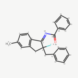 Cc1ccc2c(c1)CC(F)(Cc1ccccc1)/C2=N\C(=O)c1ccccc1